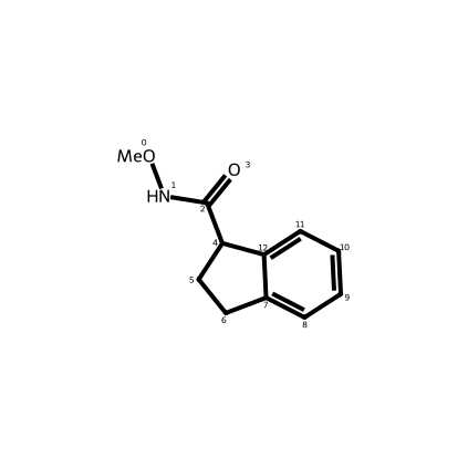 CONC(=O)C1CCc2ccccc21